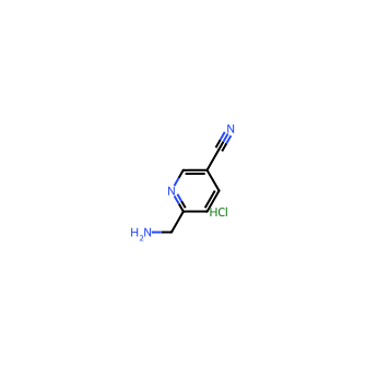 Cl.N#Cc1ccc(CN)nc1